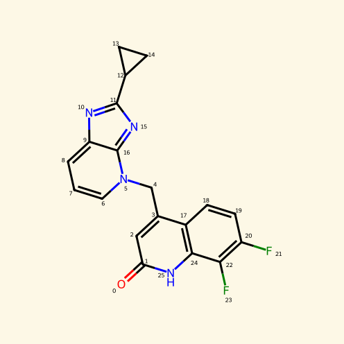 O=c1cc(Cn2cccc3nc(C4CC4)nc2-3)c2ccc(F)c(F)c2[nH]1